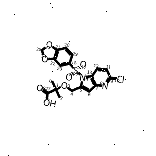 CC(C)(OCc1cc2nc(Cl)ccc2n1S(=O)(=O)c1ccc2c(c1)OCO2)C(=O)O